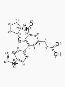 O=C(O)CCc1cc(-c2ccc3[nH]ccc3c2)c(OC2CCCC2)c([N+](=O)[O-])c1